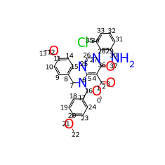 COC(=O)c1c(N(Cc2ccc(OC)cc2)Cc2ccc(OC)cc2)ncn(-c2c(N)cccc2Cl)c1=O